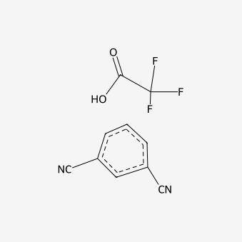 N#Cc1cccc(C#N)c1.O=C(O)C(F)(F)F